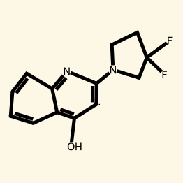 Oc1[c]c(N2CCC(F)(F)C2)nc2ccccc12